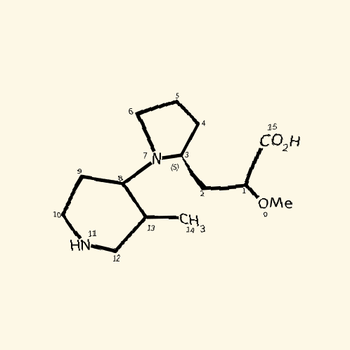 COC(C[C@@H]1CCCN1C1CCNCC1C)C(=O)O